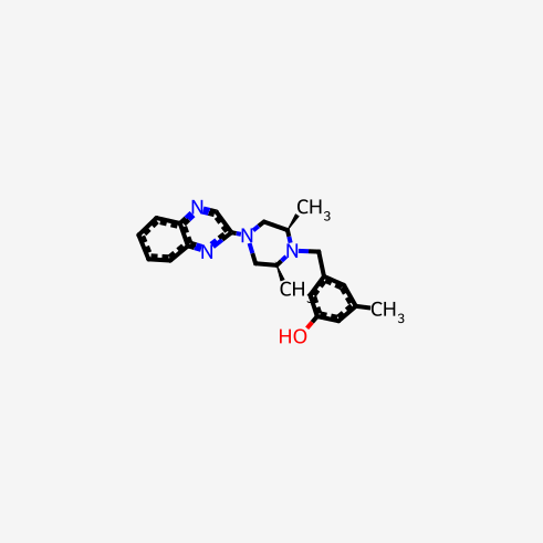 Cc1cc(O)cc(CN2[C@H](C)CN(c3cnc4ccccc4n3)C[C@@H]2C)c1